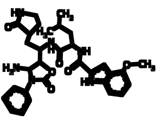 COc1cccc2[nH]c(C(=O)NC(CC(C)C)C(=O)NC(CC3CCNC3=O)C3OC(=O)N(c4ccccc4)C3N)cc12